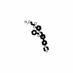 C/C=C/C(=O)Oc1cccc(N(CC23CCC(c4ccc(N5CCOCC5)cc4)(CC2)CC3)C(=O)C2CCCCC2)c1